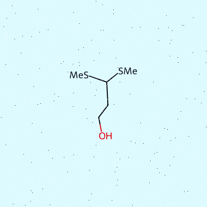 CSC(CCO)SC